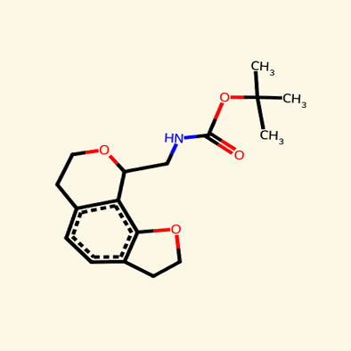 CC(C)(C)OC(=O)NCC1OCCc2ccc3c(c21)OCC3